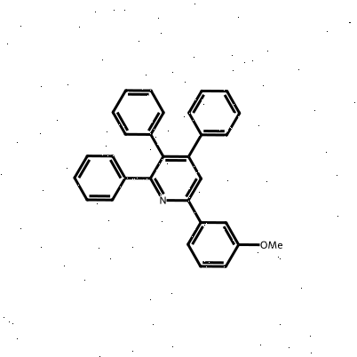 COc1cccc(-c2cc(-c3ccccc3)c(-c3ccccc3)c(-c3ccccc3)n2)c1